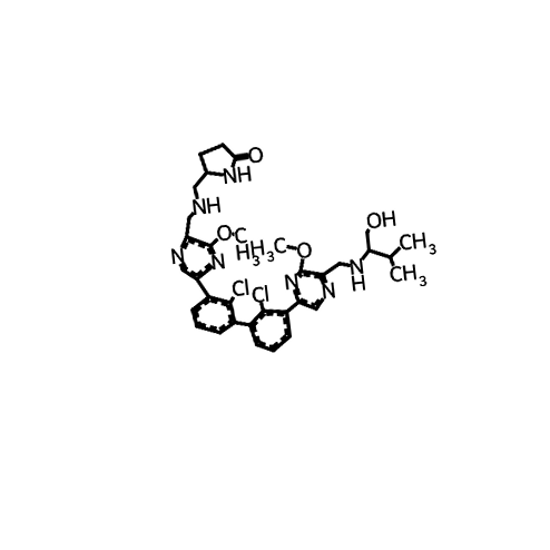 COc1nc(-c2cccc(-c3cccc(-c4cnc(CNC(CO)C(C)C)c(OC)n4)c3Cl)c2Cl)cnc1CNCC1CCC(=O)N1